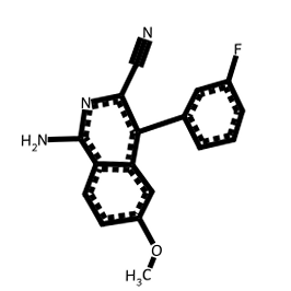 COc1ccc2c(N)nc(C#N)c(-c3cccc(F)c3)c2c1